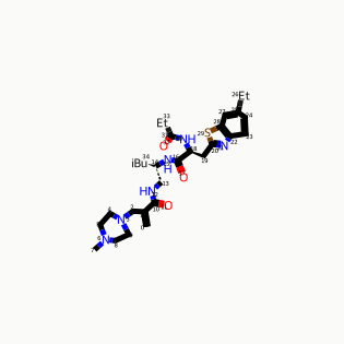 C=C(CN1CCN(C)CC1)C(=O)NC[C@@H](NC(=O)[C@H](Cc1nc2ccc(CC)cc2s1)NC(=O)CC)[C@@H](C)CC